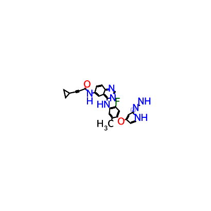 Cc1cc(Nc2ncnc3ccc(NC(=O)C#CC4CC4)cc23)c(F)cc1Oc1cc[nH]/c(=N\C=N)c1